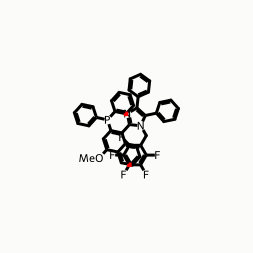 COc1cc(P(c2ccccc2)c2ccccc2)c(-c2nc(-c3ccccc3)c(-c3ccccc3)n2Cc2c(F)c(F)c(F)c(F)c2F)c2ccccc12